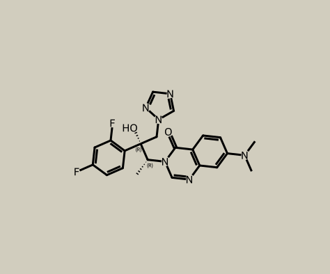 C[C@@H](n1cnc2cc(N(C)C)ccc2c1=O)[C@](O)(Cn1cncn1)c1ccc(F)cc1F